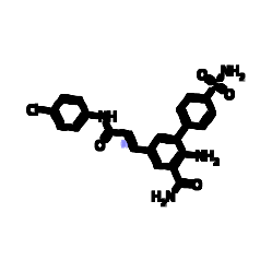 NC(=O)c1cc(/C=C/C(=O)Nc2ccc(Cl)cc2)cc(-c2ccc(S(N)(=O)=O)cc2)c1N